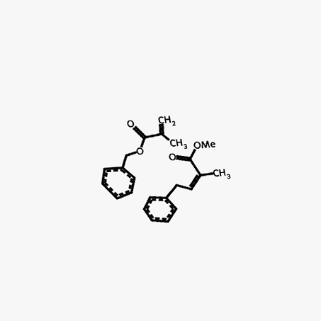 C=C(C)C(=O)OCc1ccccc1.COC(=O)C(C)=CCc1ccccc1